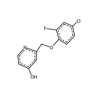 Oc1ccnc(COc2ccc(Cl)cc2F)c1